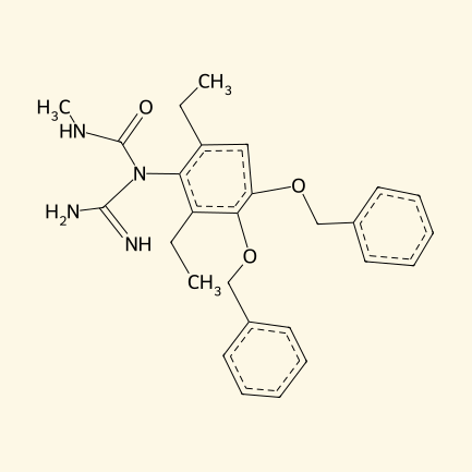 CCc1cc(OCc2ccccc2)c(OCc2ccccc2)c(CC)c1N(C(=N)N)C(=O)NC